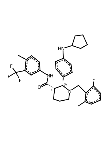 Cc1ccc(NC(=O)[C@H]2CCCN(Cc3c(C)cccc3F)[C@H]2c2ccc(NC3CCCC3)cc2)cc1C(F)(F)F